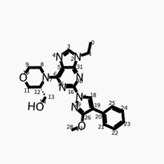 CCn1cnc2c(N3CCOC[C@H]3CO)nc(-n3cc(-c4ccccc4)c(OC)n3)nc21